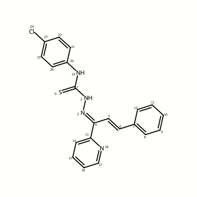 S=C(N/N=C(\C=C\c1ccccc1)c1ccccn1)Nc1ccc(Cl)cc1